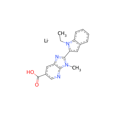 CCn1c(-c2nc3cc(C(=O)O)cnc3n2C)cc2ccccc21.[Li]